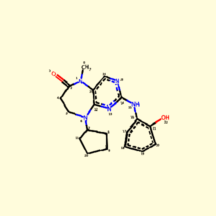 CN1C(=O)CCN(C2CCCC2)c2nc(Nc3ccccc3O)ncc21